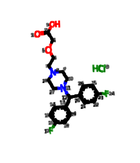 Cl.O=C(O)COCCN1CCN(C(c2ccc(F)cc2)c2ccc(F)cc2)CC1